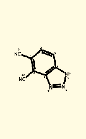 N#Cc1ccc2[nH]nnc2c1C#N